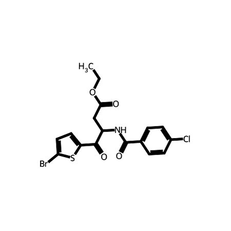 CCOC(=O)CC(NC(=O)c1ccc(Cl)cc1)C(=O)c1ccc(Br)s1